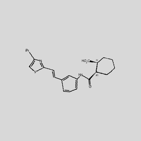 CC(C)c1csc(C=Cc2cccc(NC(=O)[C@@H]3CCCC[C@@H]3C(=O)O)c2)n1